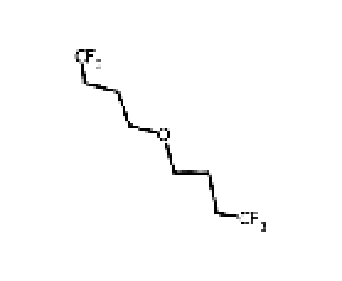 FC(F)(F)CCCOCCCC(F)(F)F